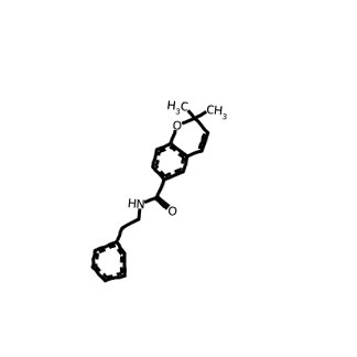 CC1(C)C=Cc2cc(C(=O)NCCc3ccccc3)ccc2O1